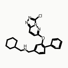 Clc1nnc2ccc(Oc3cc(CNCC4CCCCC4)ccc3-c3ccccc3)nn12